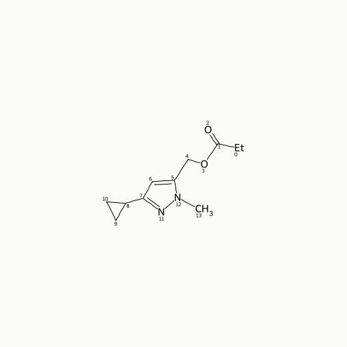 CCC(=O)OCc1cc(C2CC2)nn1C